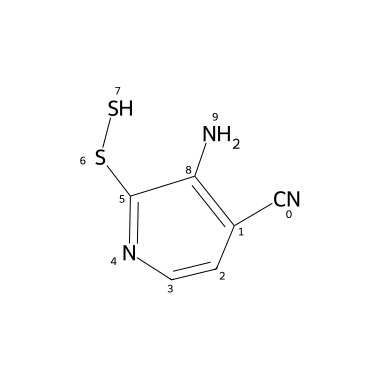 N#Cc1ccnc(SS)c1N